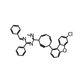 C\N=C(/N=C(\N=C\c1ccccc1)c1ccccc1)C1C#CC(c2cccc3oc4cc(Cl)ccc4c23)/C=C\C=C/1